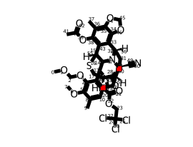 COCOc1c(OC)c(C)cc2c1C1C3[C@@H]4SC[C@@H](NC(=O)OCC(Cl)(Cl)Cl)C(=O)OC[C@@H](c5c6c(c(C)c(OC(C)=O)c54)OCO6)N3[C@@H](C#N)[C@H](C2)N1C